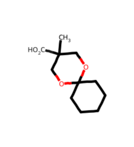 CC1(C(=O)O)COC2(CCCCC2)OC1